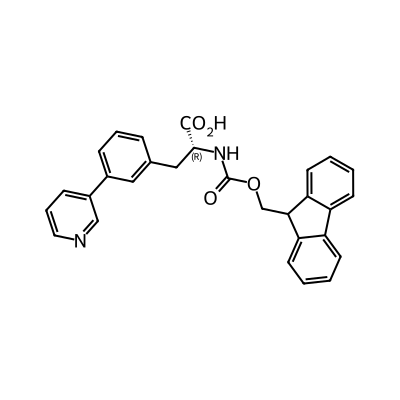 O=C(N[C@H](Cc1cccc(-c2cccnc2)c1)C(=O)O)OCC1c2ccccc2-c2ccccc21